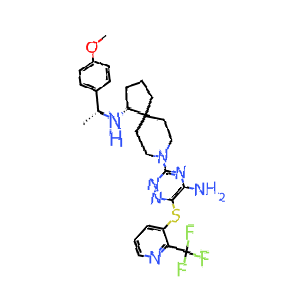 COc1ccc([C@@H](C)N[C@@H]2CCCC23CCN(c2nnc(Sc4cccnc4C(F)(F)F)c(N)n2)CC3)cc1